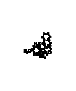 CCOC(=O)CN(Cc1ccccc1)C(=O)Cc1c(C)cc(C)cc1C